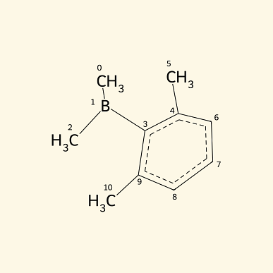 CB(C)c1c(C)cccc1C